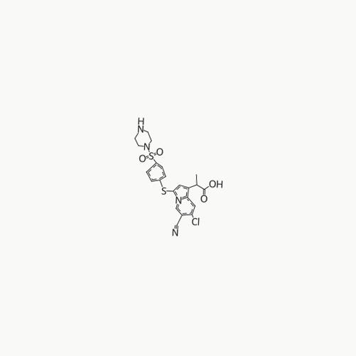 CC(C(=O)O)c1cc(Sc2ccc(S(=O)(=O)N3CCNCC3)cc2)n2cc(C#N)c(Cl)cc12